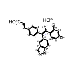 CC/C(=C(\c1ccc(C=CC(=O)O)cc1)c1ccc2[nH]ncc2c1)c1ccc(F)cc1Cl.Cl